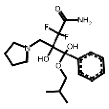 CC(C)COC(O)(c1ccccc1)C(O)(CN1CCCC1)C(F)(F)C(N)=O